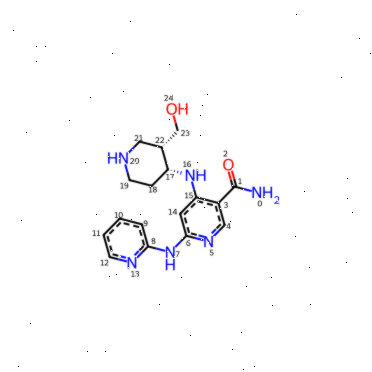 NC(=O)c1cnc(Nc2ccccn2)cc1N[C@@H]1CCNC[C@@H]1CO